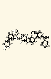 CC(C(=O)NC(CO)c1cccc(N2CCN(C)CC2)n1)N1Cc2ccc(-c3nc(NC4CCOCC4)ncc3Cl)cc2C1=O